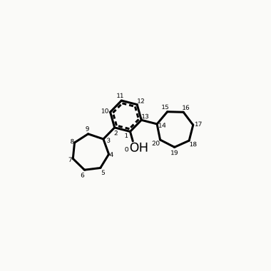 Oc1c(C2CCCCCC2)cccc1C1CCCCCC1